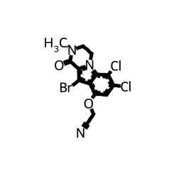 CN1CCn2c(c(Br)c3c(OCC#N)cc(Cl)c(Cl)c32)C1=O